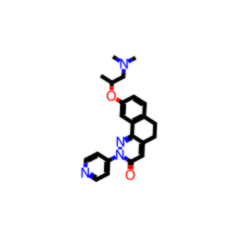 CC(CN(C)C)Oc1ccc2c(c1)-c1nn(-c3ccncc3)c(=O)cc1CC2